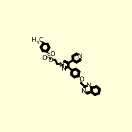 Cc1ccc(S(=O)(=O)OCCn2cc(-c3ccncc3)c(-c3ccc(OCc4ncc5ccccc5n4)cc3)n2)cc1